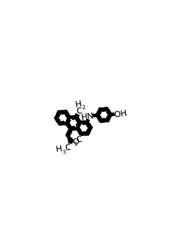 C=c1c2ccccc2/c(=C/C(C)=O)c2c(C)ccc(Nc3ccc(O)cc3)c12